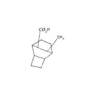 CC1C2CCC(C3CCC23)C1C(=O)O